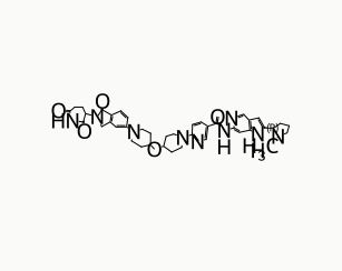 CN1CCC[C@@H]1c1cc2cnc(NC(=O)c3ccc(N4CCC(OC5CCN(c6ccc7c(c6)CN(C6CCC(=O)NC6=O)C7=O)CC5)CC4)nc3)cc2[nH]1